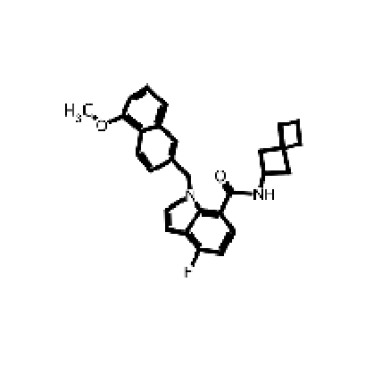 COc1cccc2cc(Cn3ccc4c(F)ccc(C(=O)NC5CC6(CCC6)C5)c43)ccc12